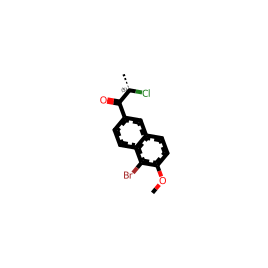 COc1ccc2cc(C(=O)[C@H](C)Cl)ccc2c1Br